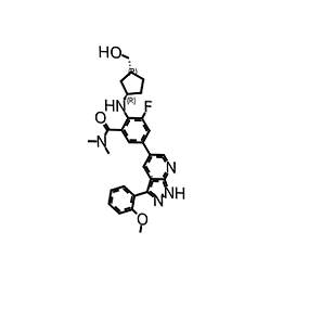 COc1ccccc1-c1n[nH]c2ncc(-c3cc(F)c(N[C@@H]4CC[C@@H](CO)C4)c(C(=O)N(C)C)c3)cc12